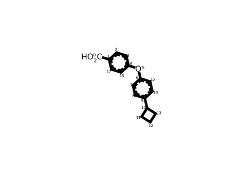 O=C(O)c1ccc(Oc2ccc(C3CCC3)cc2)cc1